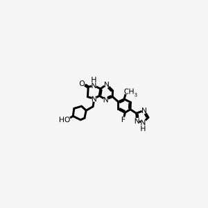 Cc1cc(-c2nc[nH]n2)c(F)cc1-c1cnc2c(n1)N(CC1CCC(O)CC1)CC(=O)N2